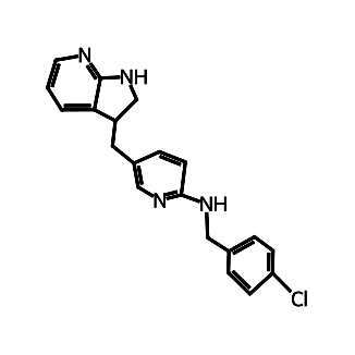 Clc1ccc(CNc2ccc(CC3CNc4ncccc43)cn2)cc1